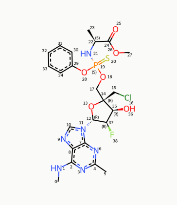 CNc1nc(C)nc2c1ncn2[C@@H]1O[C@](CCl)(CO[P@@](=S)(N[C@@H](C)C(=O)OC)Oc2ccccc2)[C@@H](O)[C@H]1F